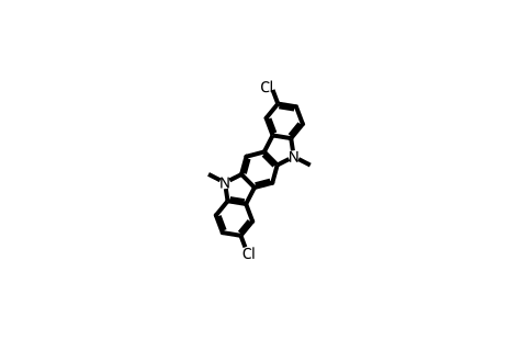 Cn1c2ccc(Cl)cc2c2cc3c(cc21)c1cc(Cl)ccc1n3C